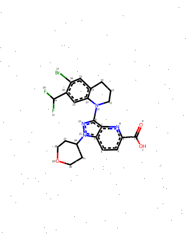 O=C(O)c1ccc2c(n1)c(N1CCCc3cc(Br)c(C(F)F)cc31)nn2C1CCOCC1